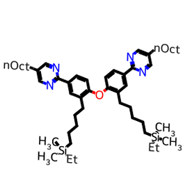 CCCCCCCCc1cnc(-c2ccc(Oc3ccc(-c4ncc(CCCCCCCC)cn4)cc3CCCCC[Si](C)(C)CC)c(CCCCC[Si](C)(C)CC)c2)nc1